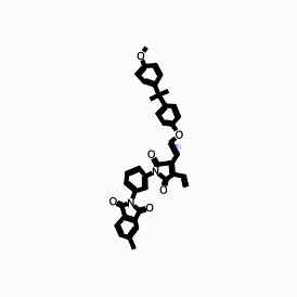 C=CC1=C(/C=C/Oc2ccc(C(C)(C)c3ccc(OC)cc3)cc2)C(=O)N(c2cccc(N3C(=O)c4ccc(C)cc4C3=O)c2)C1=O